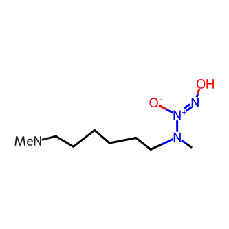 CNCCCCCCN(C)[N+]([O-])=NO